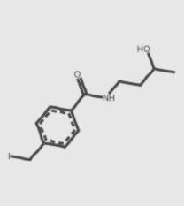 CC(O)CCNC(=O)c1ccc(CI)cc1